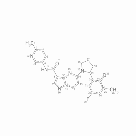 Cc1ccc(NC(=O)c2cnn3ccc(N4CCCC4c4cc(F)cn(C)c4=O)nc23)cn1